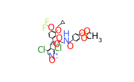 CS(=O)(=O)Oc1ccc(C(=O)NCC(=O)O[C@@H](Cc2c(Cl)c[n+]([O-])cc2Cl)c2ccc(OC(F)F)c(OCC3CC3)c2)cc1